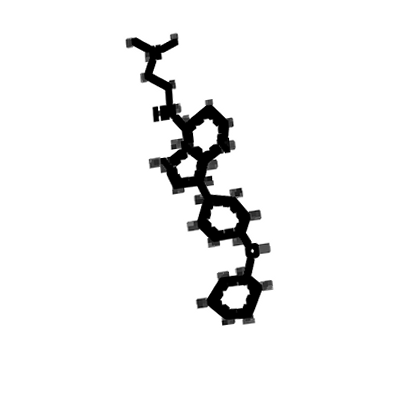 CN(C)CCNc1ccnc2c(-c3ccc(Oc4ccccc4)cc3)cnn12